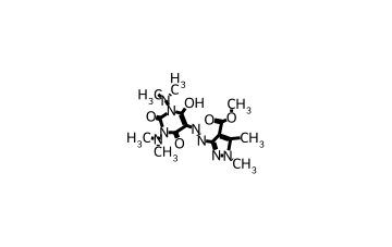 COC(=O)c1c(N=Nc2c(O)n(N(C)C)c(=O)n(N(C)C)c2=O)nn(C)c1C